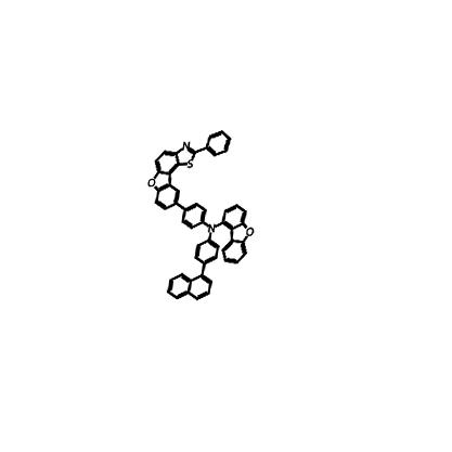 c1ccc(-c2nc3ccc4oc5ccc(-c6ccc(N(c7ccc(-c8cccc9ccccc89)cc7)c7cccc8oc9ccccc9c78)cc6)cc5c4c3s2)cc1